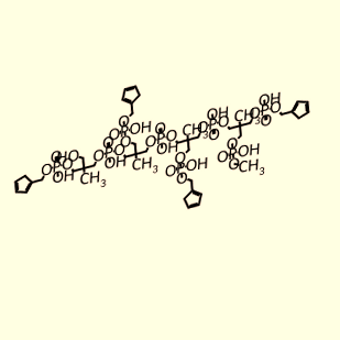 COP(=O)(O)OCC(C)(COP(=O)(O)OCC1=CC=CC1)COP(=O)(O)OCC(C)(COP(=O)(O)OCC1=CC=CC1)COP(=O)(O)OCC(C)(COP(=O)(O)OCC1=CC=CC1)COP(=O)(O)OCC(C)(CO)COP(=O)(O)OCC1=CC=CC1